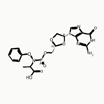 CC(C(=O)O)N(Oc1ccccc1)[PH](=O)OC[C@@H]1OC[C@H](n2cnc3c(=O)[nH]c(N)nc32)O1